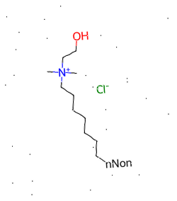 CCCCCCCCCCCCCCCC[N+](C)(C)CCO.[Cl-]